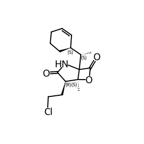 C[C@@H]([C@@H]1C=CCCC1)C12NC(=O)[C@H](CCCl)[C@]1(C)OC2=O